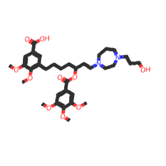 COc1cc(C(=O)O)cc(CCCCC(CCN2CCCN(CCCO)CC2)OC(=O)c2cc(OC)c(OC)c(OC)c2)c1OC